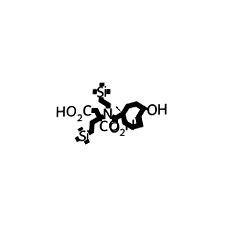 C[C@@]1(C(=O)N(CC[Si](C)(C)C)[C@@](CC[Si](C)(C)C)(CC(=O)O)C(=O)O)CC/C=C/[C@H](O)CC1